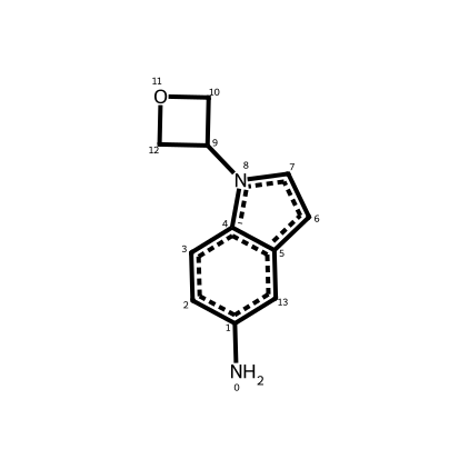 Nc1ccc2c(ccn2C2COC2)c1